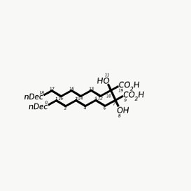 CCCCCCCCCCCCCCCCC(O)(C(=O)O)C(O)(CCCCCCCCCCCCCCCC)C(=O)O